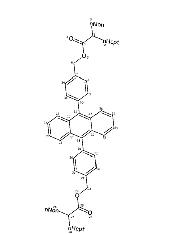 CCCCCCCCCC(CCCCCCC)C(=O)OCc1ccc(-c2c3ccccc3c(-c3ccc(COC(=O)C(CCCCCCC)CCCCCCCCC)cc3)c3ccccc23)cc1